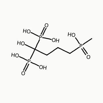 CP(=O)(O)CCCC(O)(P(=O)(O)O)P(=O)(O)O